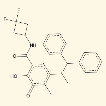 CN(c1nc(C(=O)NC2CC(F)(F)C2)c(O)c(=O)n1C)C(c1ccccc1)c1ccccc1